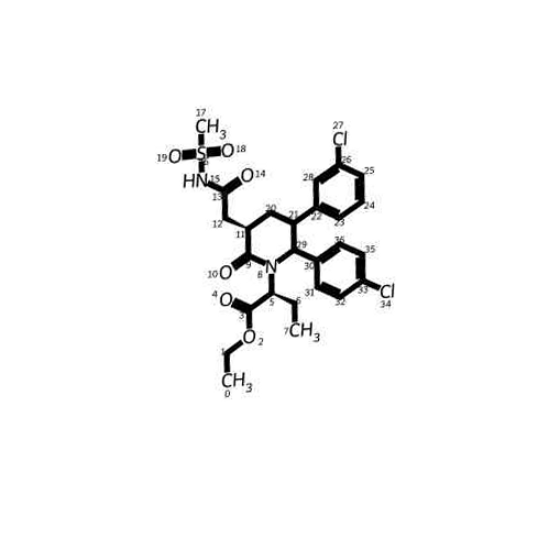 CCOC(=O)[C@H](CC)N1C(=O)[C@@H](CC(=O)NS(C)(=O)=O)CC(c2cccc(Cl)c2)C1c1ccc(Cl)cc1